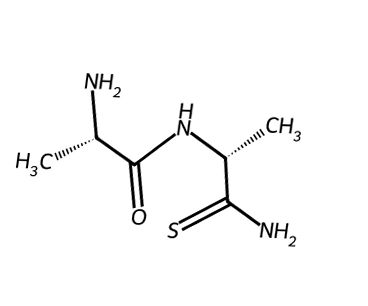 C[C@H](N)C(=O)N[C@H](C)C(N)=S